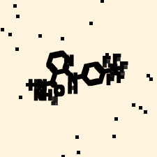 NNC(=O)c1cccnc1Nc1ccc(S(F)(F)(F)(F)F)cc1